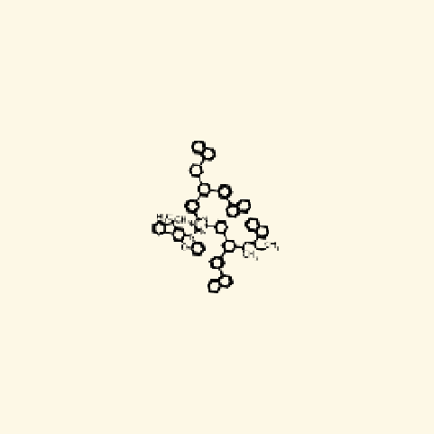 C=C(/C=C(\C=C/C)c1cccc2ccccc12)c1cc(-c2cccc(-c3nc(-c4cccc(-c5cc(-c6cccc(-c7cccc8ccccc78)c6)cc(-c6cccc(-c7cccc8ccccc78)c6)c5)c4)nc(N4c5ccccc5Oc5cc6c(cc54)C(C)(C)c4ccccc4-6)n3)c2)cc(-c2cccc(-c3cccc4ccccc34)c2)c1